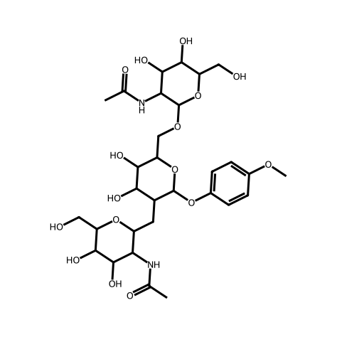 COc1ccc(OC2OC(COC3OC(CO)C(O)C(O)C3NC(C)=O)C(O)C(O)C2CC2OC(CO)C(O)C(O)C2NC(C)=O)cc1